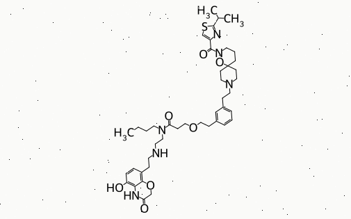 CCCCN(CCNCCc1ccc(O)c2c1OCC(=O)N2)C(=O)CCOCCc1cccc(CCN2CCC3(CCCN(C(=O)c4csc(C(C)C)n4)O3)CC2)c1